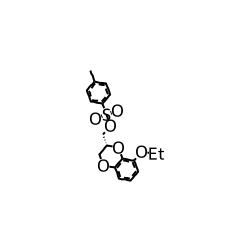 CCOc1cccc2c1O[C@@H](COS(=O)(=O)c1ccc(C)cc1)CO2